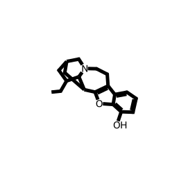 CCC1CC2CC3c4oc5c(O)cccc5c4CCN(C2)C13